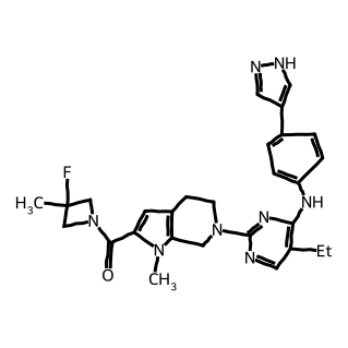 CCc1cnc(N2CCc3cc(C(=O)N4CC(C)(F)C4)n(C)c3C2)nc1Nc1ccc(-c2cn[nH]c2)cc1